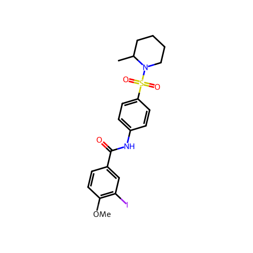 COc1ccc(C(=O)Nc2ccc(S(=O)(=O)N3CCCCC3C)cc2)cc1I